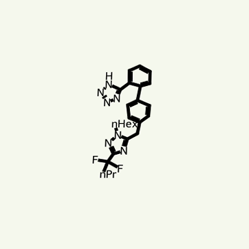 CCCCCCn1nc(C(F)(F)CCC)nc1Cc1ccc(-c2ccccc2-c2nnn[nH]2)cc1